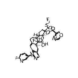 C[C@]12Cc3cnn(-c4ccc(F)nc4)c3C=C1CC[C@H]1[C@@H]3CC[C@](OC(=O)c4cocn4)(C(=O)SCF)[C@@]3(C)C[C@H](O)[C@@]12F